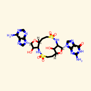 Nc1nc2c(ncn2[C@@H]2O[C@@H]3CCS(=O)(=O)NC4C(O)[C@H](n5cnc6c(N)ncnc65)O[C@@H]4CCS(=O)(=O)NC2C3O)c(=O)[nH]1